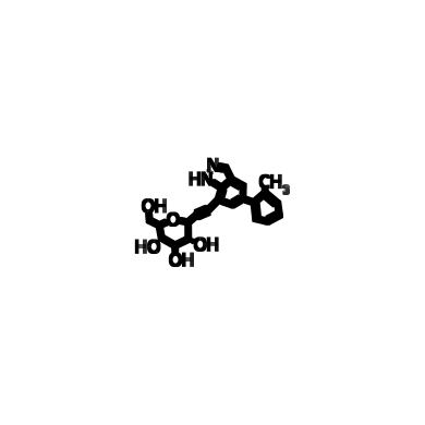 Cc1ccccc1-c1cc(C#CC2OC(CO)[C@@H](O)C(O)[C@@H]2O)c2[nH]ncc2c1